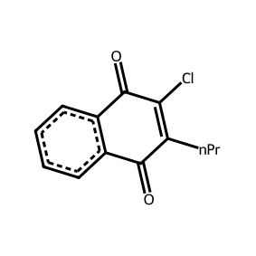 CCCC1=C(Cl)C(=O)c2ccccc2C1=O